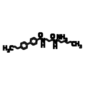 CCCCCC(N)NC(=O)CCNC(=O)c1ccc(-c2ccc(CCC)cc2)cc1